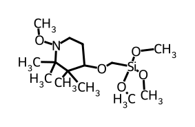 CON1CCC(OC[Si](OC)(OC)OC)C(C)(C)C1(C)C